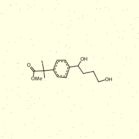 COC(=O)C(C)(C)c1ccc(C(O)CCCO)cc1